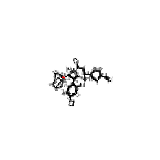 N#Cc1ccc(-c2cc(=O)n3nc(C4C5CC6CC(C5)CC4C6)c(-c4ccc(Cl)cc4Cl)c3[nH]2)cc1